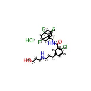 Cl.O=C(NCC12CC3(F)CC(F)(CC(F)(C3)C1)C2)c1cc(CCCNCCCO)ccc1Cl